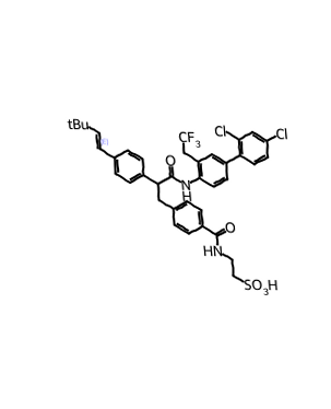 CC(C)(C)/C=C/c1ccc(C(Cc2ccc(C(=O)NCCS(=O)(=O)O)cc2)C(=O)Nc2ccc(-c3ccc(Cl)cc3Cl)cc2CC(F)(F)F)cc1